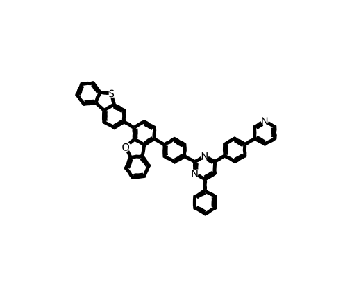 c1ccc(-c2cc(-c3ccc(-c4cccnc4)cc3)nc(-c3ccc(-c4ccc(-c5ccc6c(c5)sc5ccccc56)c5oc6ccccc6c45)cc3)n2)cc1